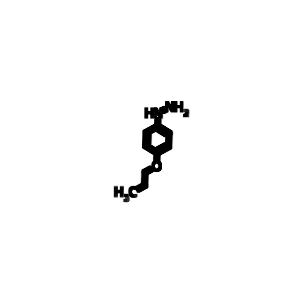 CCCOc1ccc(NN)cc1